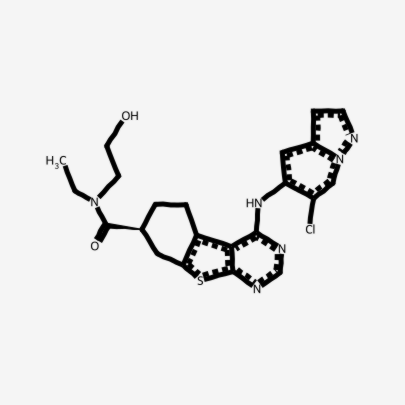 CCN(CCO)C(=O)[C@H]1CCc2c(sc3ncnc(Nc4cc5ccnn5cc4Cl)c23)C1